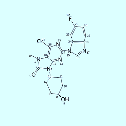 Cn1c(=O)n([C@H]2CC[C@H](O)CC2)c2nc(-n3cnc4ccc(F)cc43)nc(Cl)c21